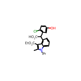 CCOC(=O)c1c(C)n(C(C)C)c2cccc(C(C(=O)O)c3cc(O)ccc3Cl)c12